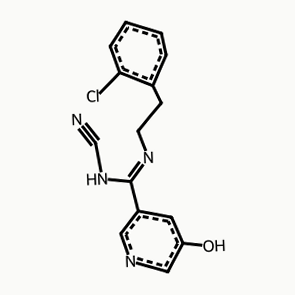 N#CN/C(=N\CCc1ccccc1Cl)c1cncc(O)c1